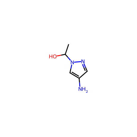 CC(O)n1cc(N)cn1